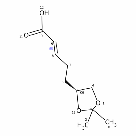 CC1(C)OC[C@H](CC/C=C/C(=O)O)O1